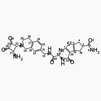 NC(=O)C1Cc2sc3nc(C(=O)NCc4ccc5c(c4)CN(C4C(=O)C(=O)C4N)CC5)[nH]c(=O)c3c2C1